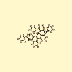 c1ccc(-c2nc(-c3ccccc3)nc(-c3ccccc3-c3cnc(-c4nccc5c4oc4ccccc45)c4ccccc34)n2)cc1